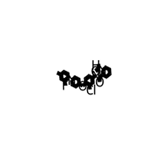 CC(=O)N1CCCCC1C(=O)Nc1ccc(OC2CCN(c3ccc(C)cc3F)CC2)c(Cl)c1